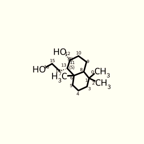 CC1(C)CCCC2(C)C1CC[C@@H](O)[C@H]2CCO